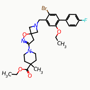 CCOC(=O)C1(C)CCN(C2=NOC3(C2)CN(Cc2cc(OCC)c(-c4ccc(F)cc4)cc2Br)C3)CC1